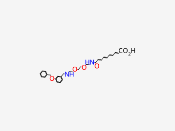 O=C(O)C=CC=CC=CC=CC(=O)NCCOCCOCCNCc1cccc(OCc2ccccc2)c1